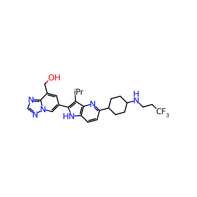 CC(C)c1c(-c2cc(CO)c3ncnn3c2)[nH]c2ccc(C3CCC(NCCC(F)(F)F)CC3)nc12